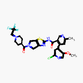 COc1cnc(Cl)cc1-c1cc(C)ncc1C(=O)Nc1nc2c(s1)CN(C(=O)C1CCN(CC(F)(F)F)CC1)C2